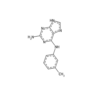 Cc1cccc(Nc2nc(N)nc3[nH]cnc23)c1